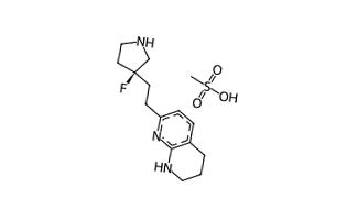 CS(=O)(=O)O.F[C@@]1(CCc2ccc3c(n2)NCCC3)CCNC1